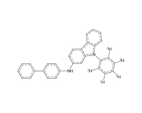 [2H]c1c([2H])c([2H])c(-n2c3ccccc3c3ccc(Nc4ccc(-c5ccccc5)cc4)cc32)c([2H])c1[2H]